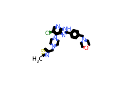 Cc1nc(CN2CCN(c3c(Cl)cnc4[nH]c(-c5ccc(CN6CCOCC6)cc5)nc34)CC2)cs1